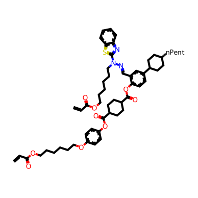 C=CC(=O)OCCCCCCOc1ccc(OC(=O)C2CCC(C(=O)Oc3ccc(C4CCC(CCCCC)CC4)cc3/C=N/N(CCCCCCOC(=O)C=C)c3nc4ccccc4s3)CC2)cc1